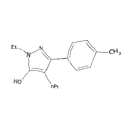 CCCc1c(-c2ccc(C)cc2)nn(CC)c1O